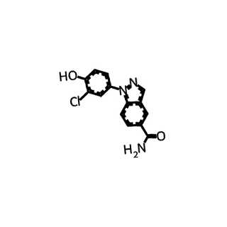 NC(=O)c1ccc2c(cnn2-c2ccc(O)c(Cl)c2)c1